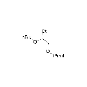 [CH2]C(CCC)OCC(CC)OCCCC